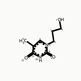 Cc1cn(CCCO)c(=O)[nH]c1=O